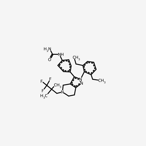 CCc1cccc(CC)c1-n1nc2c(c1-c1ccc(NC(N)=O)cc1)CN(CC(C)(C)C(F)(F)F)CC2